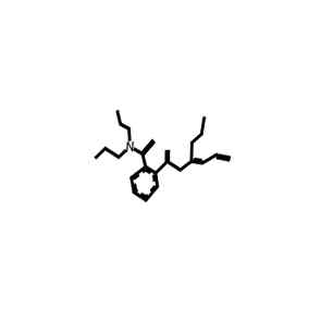 C=C/C=C(\CCC)CC(=C)c1ccccc1C(=C)N(CCC)CCC